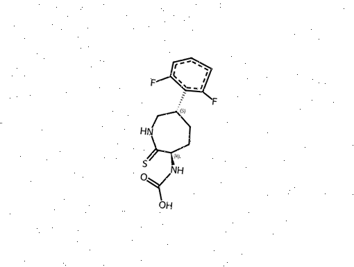 O=C(O)N[C@@H]1CC[C@@H](c2c(F)cccc2F)CNC1=S